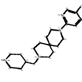 Ic1ccc(N2CCC3(CCN(CC4CCNCC4)CC3)CC2)nc1